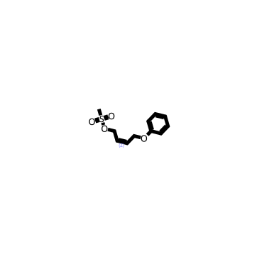 CS(=O)(=O)OC/C=C\COc1ccccc1